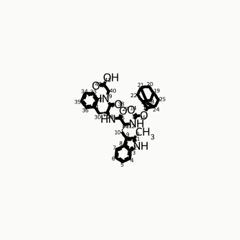 Cc1[nH]c2ccccc2c1C[C@@H](NC(=O)OC1C2CC3CC(C2)CC1C3)C(=O)N[C@@H](Cc1ccccc1)C(=O)NCC(=O)O